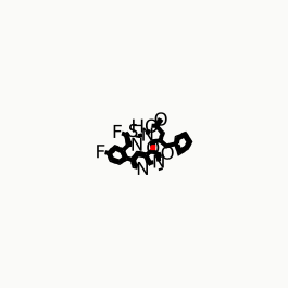 CN(C(=O)C(CC(=O)O)Cc1ccccc1)c1nc(-c2cc(F)ccc2-c2cnc3c(c2)CC(=O)N3C)c(F)s1